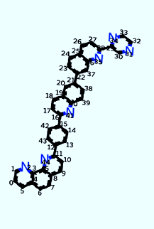 c1cnc2c(c1)ccc1ccc(-c3ccc(-c4ccc5cc(-c6ccc7ccc(-c8cnccn8)nc7c6)ccc5n4)cc3)nc12